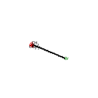 CO[Si](CCCCCCCCCCCCCCCCCCCCCCCCCCCCCCCCBr)(OC)OC